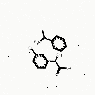 CC(N)c1ccccc1.O=C(O)[C@H](O)c1cccc(Cl)c1